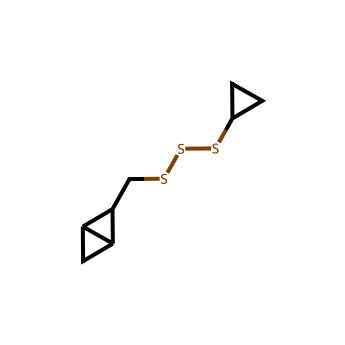 C1CC1SSSCC1C2CC12